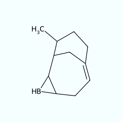 CC1CCC2=CCC3BC3C1C2